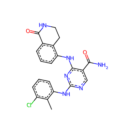 Cc1c(Cl)cccc1Nc1ncc(C(N)=O)c(Nc2cccc3c2CCNC3=O)n1